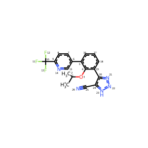 CC(C)Oc1c(-c2ccc(C(F)(F)F)nc2)cccc1-c1nn[nH]c1C#N